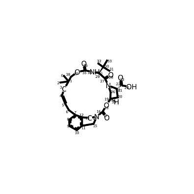 CC1(C)CC=CCc2cccc3c2CN(C3)C(=O)O[C@@H]2C[C@@H](C(=O)O)N(C2)C(=O)[C@H](C(C)(C)C)NC(=O)OC1